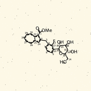 COC(=O)c1c(Cc2cccc([C@@H]3O[C@H](CO)[C@@H](O)[C@H](O)[C@H]3O)c2F)cc2cccccc1-2